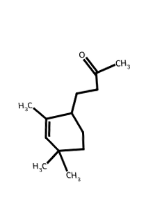 CC(=O)CCC1CCC(C)(C)C=C1C